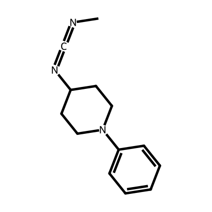 CN=C=NC1CCN(c2ccccc2)CC1